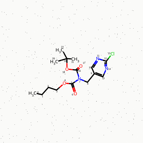 CCCCOC(=O)N(Cc1cnc(Cl)nc1)C(=O)OC(C)(C)C